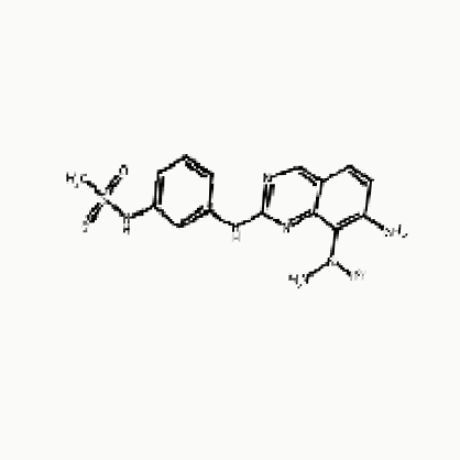 CC(C)N(N)c1c(N)ccc2cnc(Nc3cccc(NS(C)(=O)=O)c3)nc12